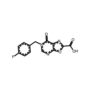 O=C(O)c1nc2c(=O)n(Cc3ccc(F)cc3)cnc2o1